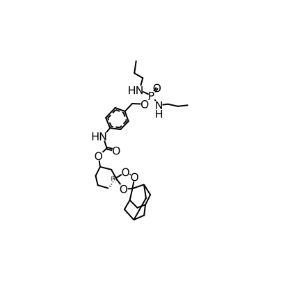 CCCNP(=O)(NCCC)OCc1ccc(NC(=O)OC2CCC[C@]3(C2)OOC2(O3)C3CC4CC(C3)CC2C4)cc1